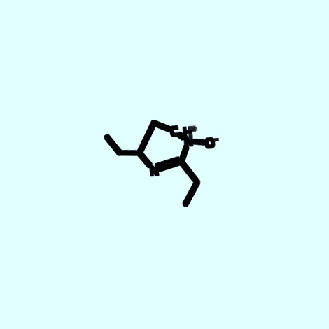 CCC1=NC(CC)CC[NH+]1[O-]